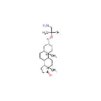 CC(C)(CN)ON=C1CC[C@@]2(C)C(CCC3C2CC[C@]2(C)C(=O)CCC32)C1